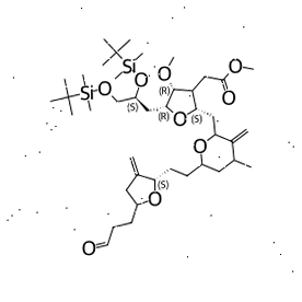 C=C1C(C)CC(CC[C@@H]2OC(CCC=O)CC2=C)OC1C[C@@H]1O[C@H](C[C@@H](CO[Si](C)(C)C(C)(C)C)O[Si](C)(C)C(C)(C)C)[C@H](OC)C1CC(=O)OC